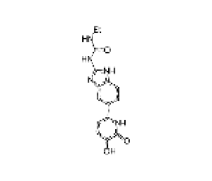 CCNC(=O)Nc1nc2cc(-c3ccc(O)c(=O)[nH]3)ccc2[nH]1